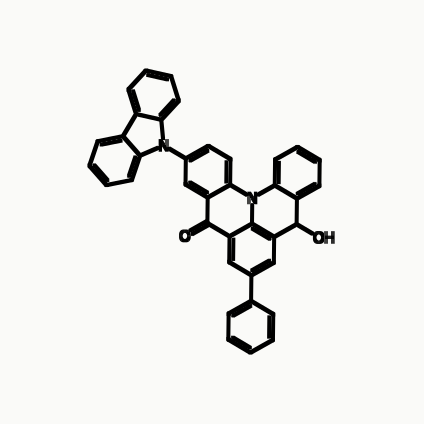 O=c1c2cc(-n3c4ccccc4c4ccccc43)ccc2n2c3c(cc(-c4ccccc4)cc13)C(O)c1ccccc1-2